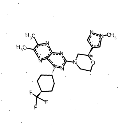 Cc1nc2nc(N3CCO[C@H](c4cnn(C)c4)C3)nc([C@H]3CC[C@H](C(F)(F)F)CC3)c2nc1C